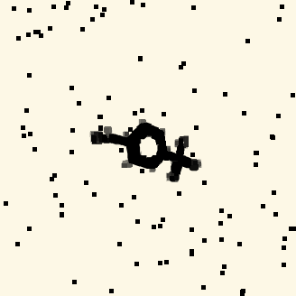 CCC(C)c1ccc(S(=O)(=O)Cl)cc1